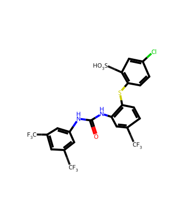 O=C(Nc1cc(C(F)(F)F)cc(C(F)(F)F)c1)Nc1cc(C(F)(F)F)ccc1Sc1ccc(Cl)cc1S(=O)(=O)O